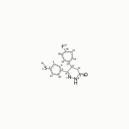 CSc1ccc(C2=NNC(=O)CC2c2ccc(F)cc2)cc1